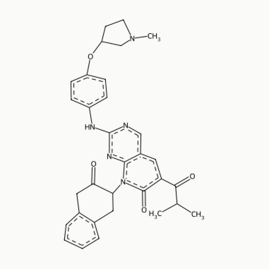 CC(C)C(=O)c1cc2cnc(Nc3ccc(OC4CCN(C)C4)cc3)nc2n(C2Cc3ccccc3CC2=O)c1=O